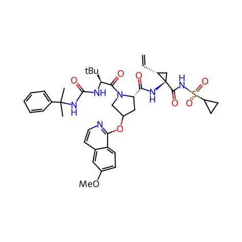 C=C[C@@H]1C[C@]1(NC(=O)[C@@H]1CC(Oc2nccc3cc(OC)ccc23)CN1C(=O)[C@@H](NC(=O)NC(C)(C)c1ccccc1)C(C)(C)C)C(=O)NS(=O)(=O)C1CC1